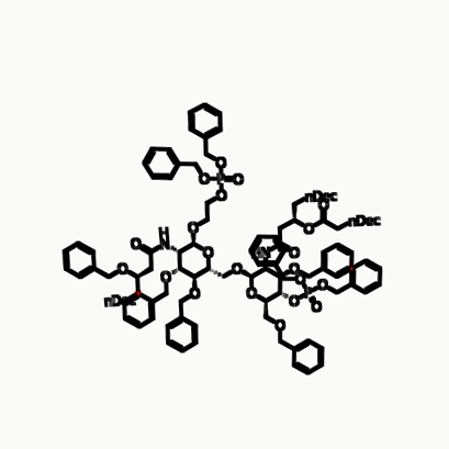 CCCCCCCCCCCC(=O)O[C@H](CCCCCCCCCCC)CC(=O)N[C@@H]1[C@H](OC[C@H]2O[C@H](OCCOP(=O)(OCc3ccccc3)OCc3ccccc3)[C@@H](NC(=O)C[C@@H](CCCCCCCCCCC)OCc3ccccc3)[C@@H](OCc3ccccc3)[C@@H]2OCc2ccccc2)O[C@H](COCc2ccccc2)[C@@H](OP(=O)(OCc2ccccc2)OCc2ccccc2)[C@@H]1OCc1ccccc1